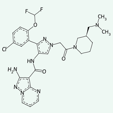 CN(C)C[C@H]1CCCN(C(=O)Cn2cc(NC(=O)c3c(N)nn4cccnc34)c(-c3cc(Cl)ccc3OC(F)F)n2)C1